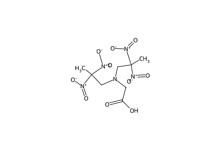 CC(CN(CC(=O)O)CC(C)([N+](=O)[O-])[N+](=O)[O-])([N+](=O)[O-])[N+](=O)[O-]